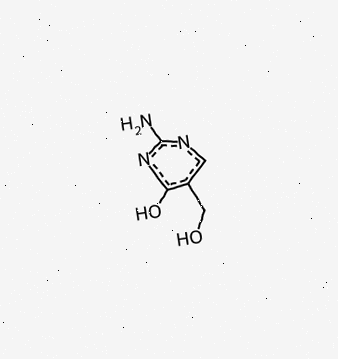 Nc1ncc(CO)c(O)n1